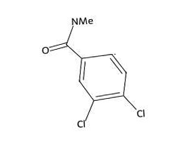 CNC(=O)c1[c]cc(Cl)c(Cl)c1